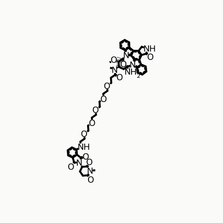 CO[C@@H]1[C@H](N(C)C(=O)CCOCCOCCOCCOCCOCCNc2cccc3c2C(=O)N(C2CCC(=O)N(C)C2=O)C3=O)C[C@@]2(N)O[C@]1(C)n1c3ccccc3c3c4c(c5c6ccccc6n2c5c31)C(=O)NC4